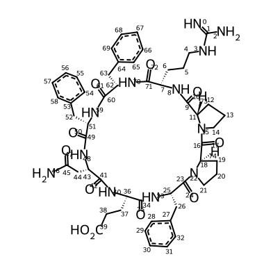 N=C(N)NCCC[C@@H]1NC(=O)[C@@H]2CCCN2C(=O)[C@H]2CCCN2C(=O)[C@H](Cc2ccccc2)NC(=O)[C@H](CCC(=O)O)NC(=O)[C@H](CC(N)=O)NC(=O)[C@H](Cc2ccccc2)NC(=O)[C@H](Cc2ccccc2)NC1=O